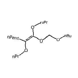 CCCCC/C(OCCC)=C(\OCCC)OCOCCCC